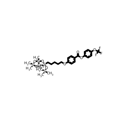 C[Si](C)(C)O[Si](C)(C)O[Si](C)(CCCCCOc1ccc(C(=O)Oc2ccc(OC(F)(F)F)cc2)cc1)O[Si](C)(C)C